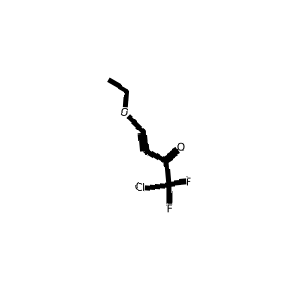 CCOC=CC(=O)C(F)(F)Cl